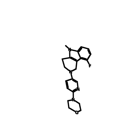 Cn1c2c(c3c(F)cccc31)CN(c1ccc(N3CCOCC3)nc1)CC2